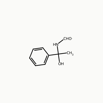 CC(O)(N[C]=O)c1ccccc1